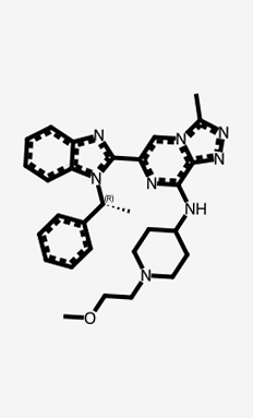 COCCN1CCC(Nc2nc(-c3nc4ccccc4n3[C@H](C)c3ccccc3)cn3c(C)nnc23)CC1